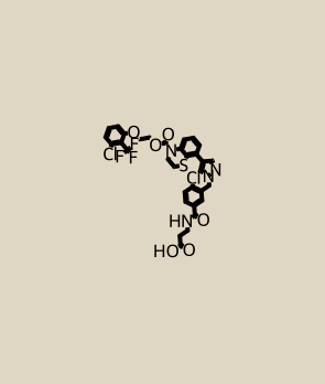 O=C(O)CCNC(=O)c1ccc(Cl)c(Cn2cc(-c3cccc4c3SCCN4C(=O)OCCOc3cccc(Cl)c3C(F)(F)F)cn2)c1